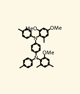 COc1cc(C)c(N(c2ccc(C)cc2)c2ccc(N(c3ccc(C)cc3)c3c(C)cc(C)cc3OC)cc2)c(OC)c1